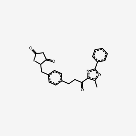 Cc1oc(-c2ccccc2)nc1C(=O)CCc1ccc(CC2SC(=O)CC2=O)cc1